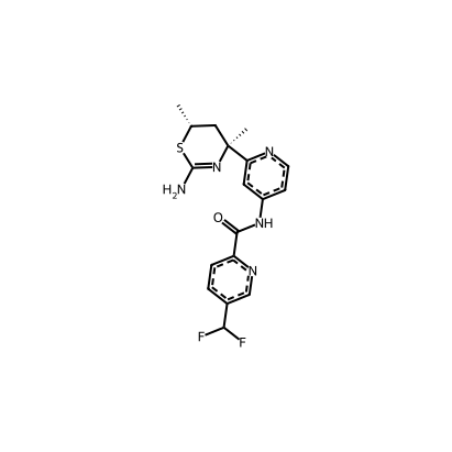 C[C@@H]1C[C@@](C)(c2cc(NC(=O)c3ccc(C(F)F)cn3)ccn2)N=C(N)S1